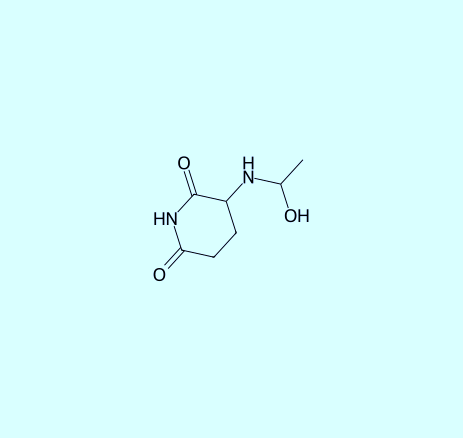 CC(O)NC1CCC(=O)NC1=O